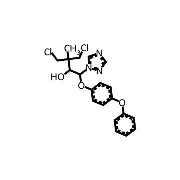 CC(CCl)(CCl)C(O)C(Oc1ccc(Oc2ccccc2)cc1)n1cncn1